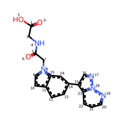 O=C(O)CNC(=O)Cn1ccc2ccc(-c3cnn4ncccc34)cc21